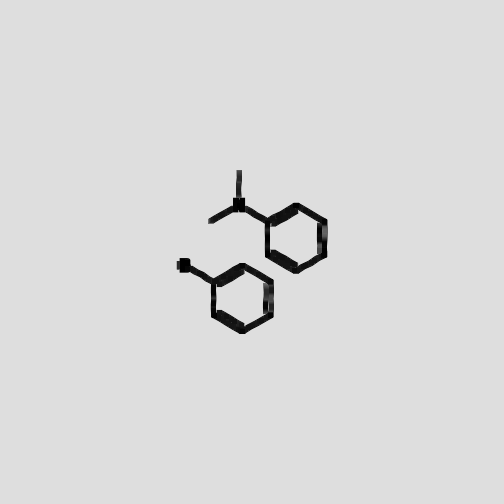 CN(C)c1ccccc1.[B]c1ccccc1